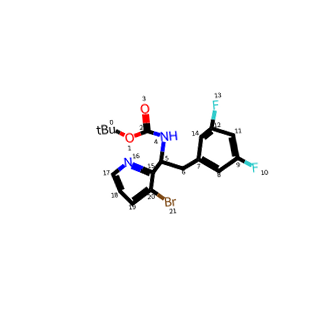 CC(C)(C)OC(=O)NC(Cc1cc(F)cc(F)c1)c1ncccc1Br